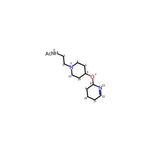 CC(=O)NCCN1CCC(OC2CCCC=N2)CC1